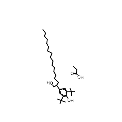 CCC(=O)O.CCCCCCCCCCCCCCCCC(CO)c1cc(C(C)(C)C)c(O)c(C(C)(C)C)c1